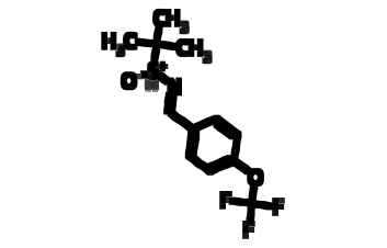 CC(C)(C)[S@@+]([O-])N=Cc1ccc(OC(F)(F)F)cc1